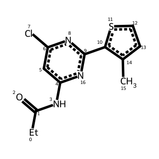 CCC(=O)Nc1cc(Cl)nc(-c2sccc2C)n1